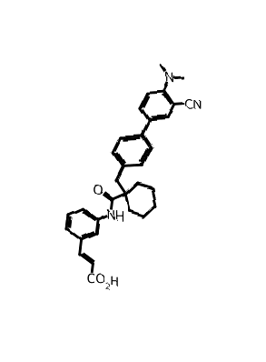 CN(C)c1ccc(-c2ccc(CC3(C(=O)Nc4cccc(/C=C/C(=O)O)c4)CCCCC3)cc2)cc1C#N